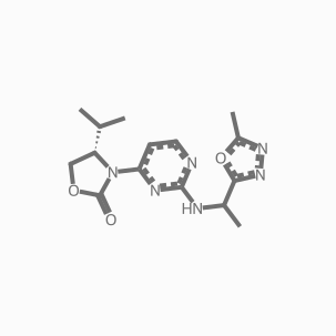 Cc1nnc(C(C)Nc2nccc(N3C(=O)OC[C@@H]3C(C)C)n2)o1